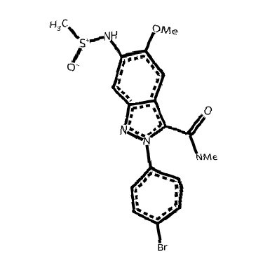 CNC(=O)c1c2cc(OC)c(N[S+](C)[O-])cc2nn1-c1ccc(Br)cc1